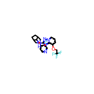 Fc1cnccc1N1CC2CCC(C1)C2Nc1nc2c(OCC(F)(F)F)cccn2n1